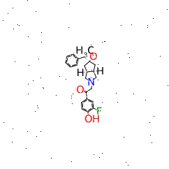 CO[C@@]1(Cc2ccccc2)C[C@H]2CN(CC(=O)c3ccc(O)c(F)c3)C[C@H]2C1